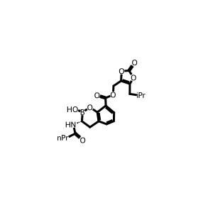 CCCC(=O)N[C@H]1Cc2cccc(C(=O)OCc3oc(=O)oc3CC(C)C)c2OB1O